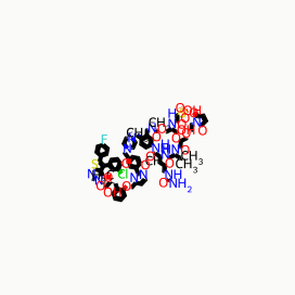 COc1ccccc1-c1nccc(COc2ccccc2C[C@@H](Oc2ncnc3sc(-c4ccc(F)cc4)c(-c4ccc(OCCN5CC[N+](C)(Cc6ccc(NC(=O)C(CCCNC(N)=O)NC(=O)C(NC(=O)CCOCCN7C(=O)C=CC7=O)C(C)C)cc6CN(C)C(=O)OCC(NC(=O)CS(=O)(=O)O)C(=O)O)CC5)c(Cl)c4C)c23)C(=O)O)n1